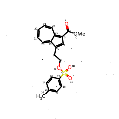 COC(=O)c1cc(CCOS(=O)(=O)c2ccc(C)cc2)c2cccccc1-2